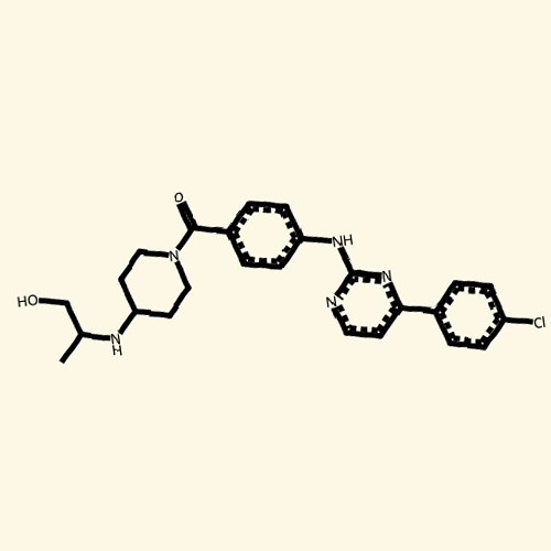 CC(CO)NC1CCN(C(=O)c2ccc(Nc3nccc(-c4ccc(Cl)cc4)n3)cc2)CC1